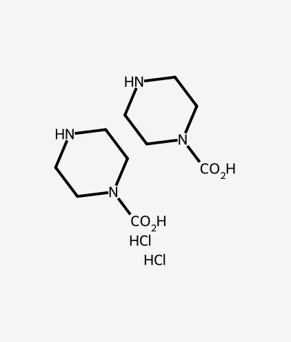 Cl.Cl.O=C(O)N1CCNCC1.O=C(O)N1CCNCC1